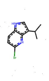 CC(C)c1c[nH]c2ccc(Br)nc12